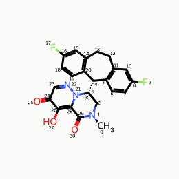 CN1C[C@@H](C2c3ccc(F)cc3CCc3cc(F)ccc32)n2ncc(=O)c(O)c2C1=O